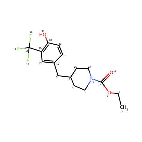 CCOC(=O)N1CCC(Cc2ccc(O)c(C(F)(F)F)c2)CC1